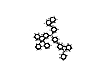 c1ccc(-c2c(-c3ccccc3)c3cc(N(c4ccc(-c5ccc6c(c5)c5ccccc5n6-c5ccccc5)cc4)c4cccc(-c5cccc6ccccc56)c4)ccc3c3ccccc23)cc1